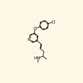 CNC(C)CC=Cc1cncc(Oc2ccc(Cl)cc2)c1